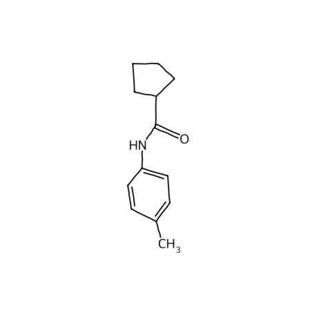 Cc1ccc(NC(=O)C2CCCC2)cc1